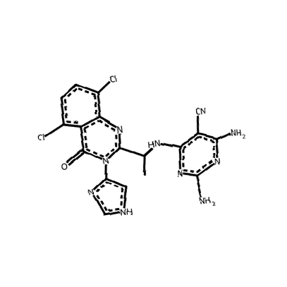 CC(Nc1nc(N)nc(N)c1C#N)c1nc2c(Cl)ccc(Cl)c2c(=O)n1-c1c[nH]cn1